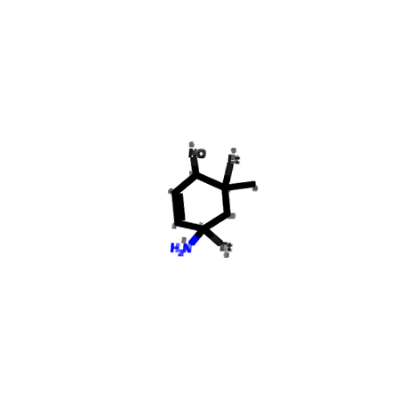 CCC1(N)C=CC(N=O)C(C)(CC)C1